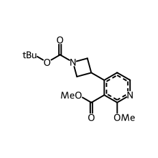 COC(=O)c1c(C2CN(C(=O)OC(C)(C)C)C2)ccnc1OC